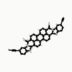 C#Cc1ccc2nc3c4ccc5c6ccc7c8c(ccc(c9ccc(c(=O)n3c2c1)c4c95)c68)c(=O)n1c2cc(C#CC)ccc2nc71